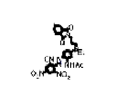 CCN(CCCN1C(=O)c2ccccc2C1=O)c1ccc(/N=N/c2c(C#N)cc([N+](=O)[O-])cc2[N+](=O)[O-])c(NC(C)=O)c1